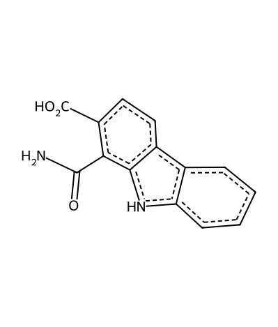 NC(=O)c1c(C(=O)O)ccc2c1[nH]c1ccccc12